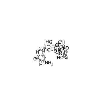 Nc1nc2c(ncn2[C@H]2C[C@H](O)[C@@H](C(=O)OP(=O)(O)OP(=O)(O)OP(=O)(O)O)O2)c(=O)[nH]1